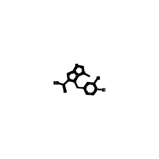 Cn1cnc2cc(C(=O)O)n(Cc3ccc(Cl)c(Cl)c3)c21